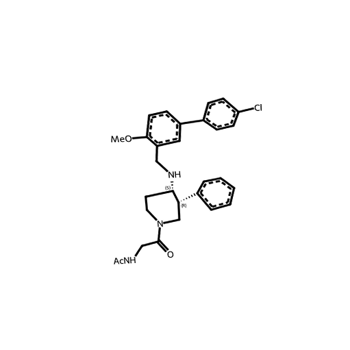 COc1ccc(-c2ccc(Cl)cc2)cc1CN[C@H]1CCN(C(=O)CNC(C)=O)C[C@H]1c1ccccc1